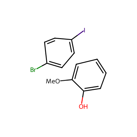 Brc1ccc(I)cc1.COc1ccccc1O